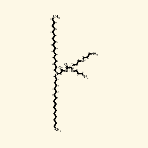 CCCCCCCCCCCCCCCCCCN(CCCCCCCCCCCCCCCCCC)CC(=O)NC(=O)[C@H](CCCNCCCN)NCCCN